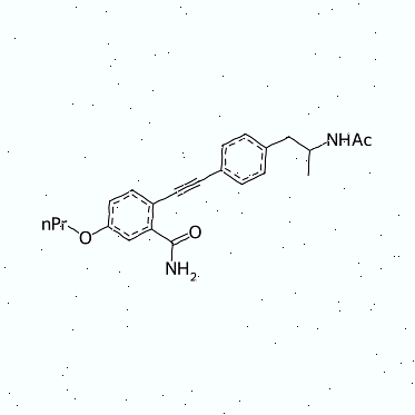 CCCOc1ccc(C#Cc2ccc(CC(C)NC(C)=O)cc2)c(C(N)=O)c1